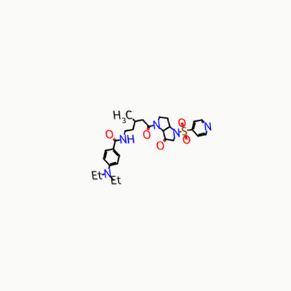 CCN(CC)c1ccc(C(=O)NCCC(C)CC(=O)N2CCC3C2C(=O)CN3S(=O)(=O)c2ccncc2)cc1